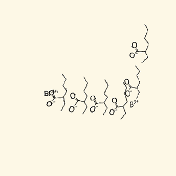 CCCCC(CC)C(=O)[O-].CCCCC(CC)C(=O)[O-].CCCCC(CC)C(=O)[O-].CCCCC(CC)C(=O)[O-].CCCCC(CC)C(=O)[O-].CCCCC(CC)C(=O)[O-].[B+3].[Bi+3]